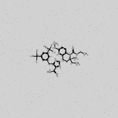 CCOC(=O)N1c2ccc(OC)nc2[C@@H](c2nc(C(=O)O)c(Cc3cc(C(F)(F)F)cc(C(F)(F)F)c3)o2)C[C@@]1(N)CC